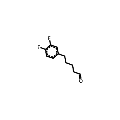 O=CCCCCc1ccc(F)c(F)c1